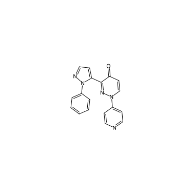 O=c1ccn(-c2ccncc2)nc1-c1ccnn1-c1ccccc1